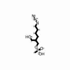 CP(=O)(O)OCC(CO)CCCCN=[N+]=[N-]